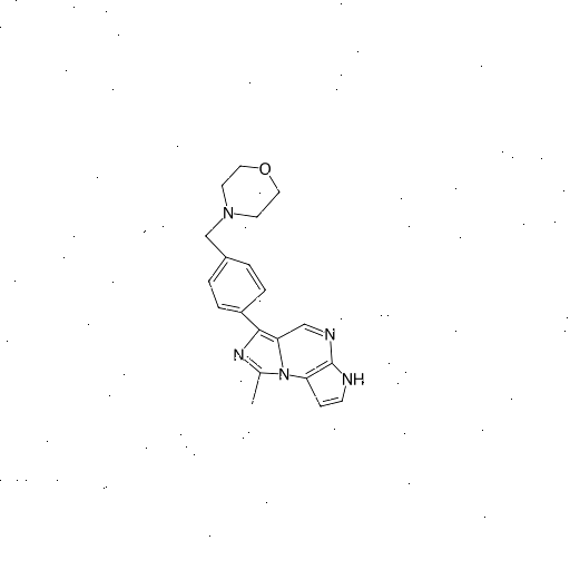 Cc1nc(-c2ccc(CN3CCOCC3)cc2)c2cnc3[nH]ccc3n12